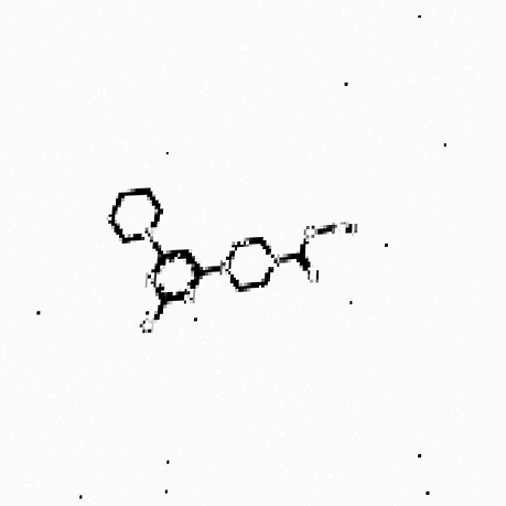 CC(C)(C)OC(=O)N1CCN(c2cc(N3CCCCC3)nc(Cl)n2)CC1